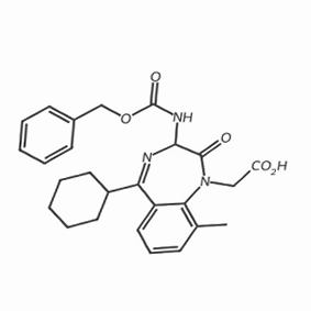 Cc1cccc2c1N(CC(=O)O)C(=O)C(NC(=O)OCc1ccccc1)N=C2C1CCCCC1